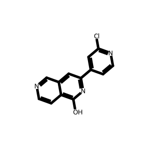 Oc1nc(-c2ccnc(Cl)c2)cc2cnccc12